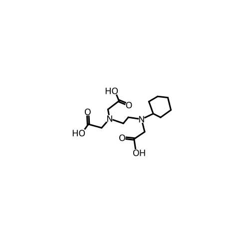 O=C(O)CN(CCN(CC(=O)O)C1CCCCC1)CC(=O)O